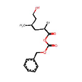 CCC(CC(C)CCO)C(=O)OC(=O)OCc1ccccc1